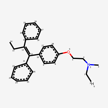 [2H]CN(C)CCOc1ccc(/C(=C(/CC)c2ccccc2)c2ccccc2)cc1